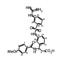 COc1ccc(C(=O)NC(CC(=O)O)c2cccc(NS(=O)(=O)c3cccc(NC(=N)N)c3)c2)cc1